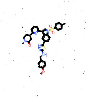 COc1ccc(CNc2nnc(-c3ccc4c(c3)c(-c3cccc(C5CCN(C)C(=O)C5)n3)cn4S(=O)(=O)c3ccc(C)cc3)s2)cc1